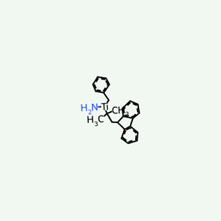 C[C](C)(CC1c2ccccc2-c2ccccc21)[Ti]([NH2])[CH2]c1ccccc1